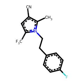 Cc1c(C#N)cc(C(F)(F)F)n1CCc1ccc(F)cc1